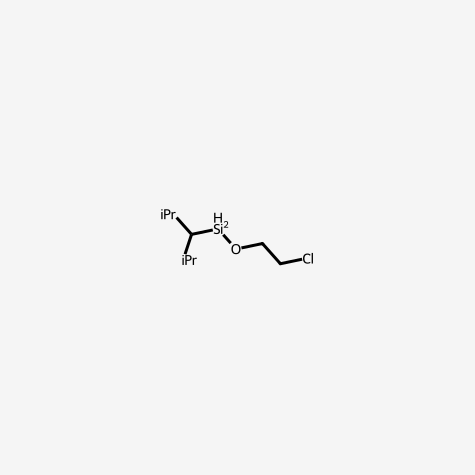 CC(C)C([SiH2]OCCCl)C(C)C